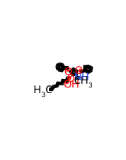 CCCCCCCC(O)CO[C@H]1[C@H](NC)[C@@H](OCc2ccccc2)C[C@H]1OCc1ccccc1